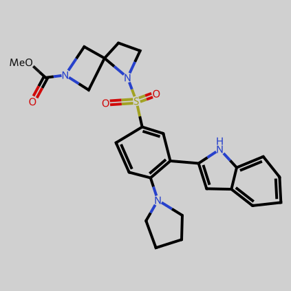 COC(=O)N1CC2(CCN2S(=O)(=O)c2ccc(N3CCCC3)c(-c3cc4ccccc4[nH]3)c2)C1